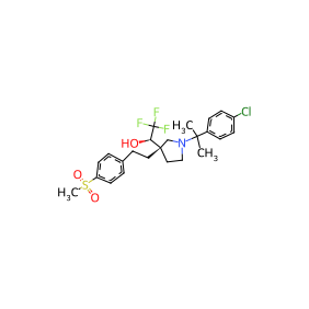 CC(C)(c1ccc(Cl)cc1)N1CC[C@](CCc2ccc(S(C)(=O)=O)cc2)([C@@H](O)C(F)(F)F)C1